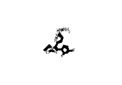 NNc1ccc(-c2c(C3C=CC(F)=CC3F)nc3occn23)nn1